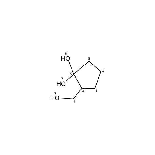 OCC1CCCC1(O)O